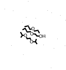 CC(C)OCCOC(C)C.CCCCOCCO.CCCOCCC